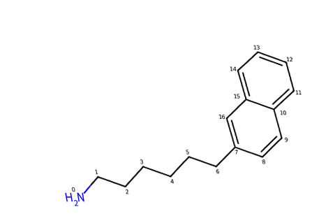 NCCCCCCc1ccc2ccccc2c1